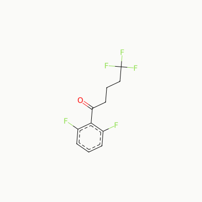 O=C(CCCC(F)(F)F)c1c(F)cccc1F